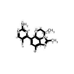 Cc1nc2c(F)cc(-c3nc(N)ncc3F)c3c2n1[C@@H](C)CO3